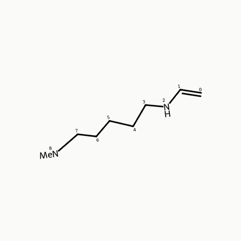 C=CNCCCCCNC